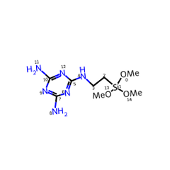 CO[Si](CCNc1nc(N)nc(N)n1)(OC)OC